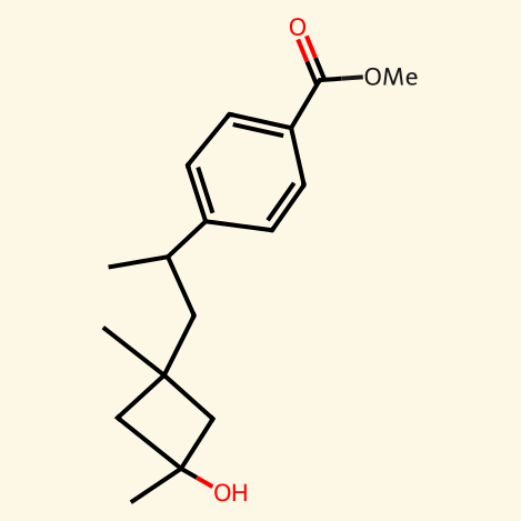 COC(=O)c1ccc(C(C)CC2(C)CC(C)(O)C2)cc1